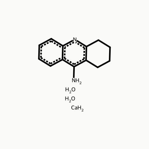 Nc1c2c(nc3ccccc13)CCCC2.O.O.[CaH2]